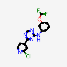 FC(F)Oc1cccc(Nc2ncnc(-c3ccnc(Cl)c3)n2)c1